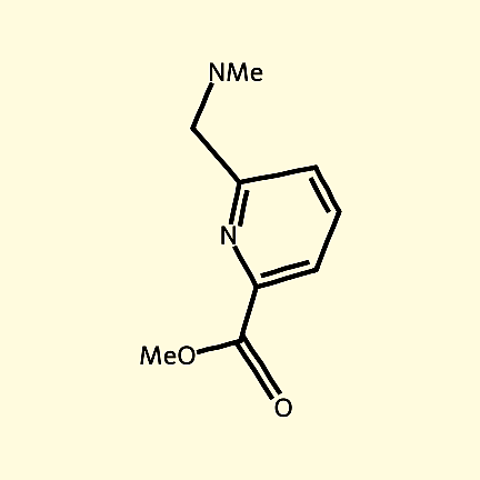 CNCc1cccc(C(=O)OC)n1